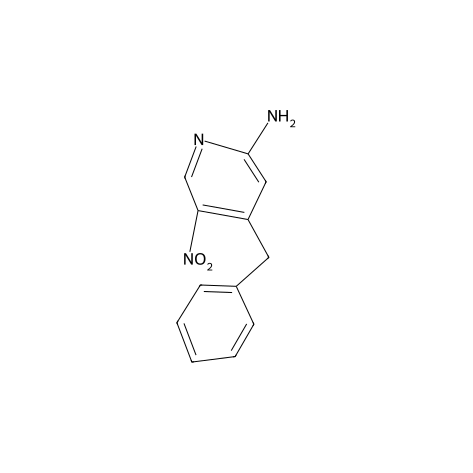 Nc1cc(Cc2ccccc2)c([N+](=O)[O-])cn1